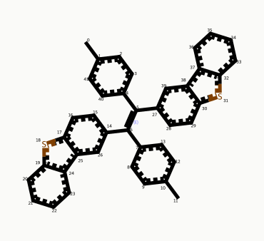 Cc1ccc(/C(=C(/c2ccc(C)cc2)c2ccc3sc4ccccc4c3c2)c2ccc3sc4ccccc4c3c2)cc1